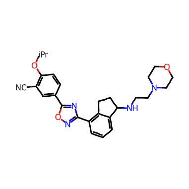 CC(C)Oc1ccc(-c2nc(-c3cccc4c3CCC4NCCN3CCOCC3)no2)cc1C#N